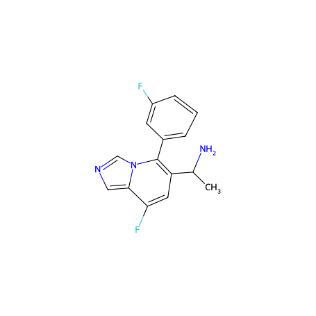 CC(N)c1cc(F)c2cncn2c1-c1cccc(F)c1